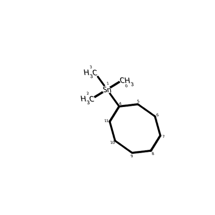 [CH3][Sn]([CH3])([CH3])[CH]1CCCCCCC1